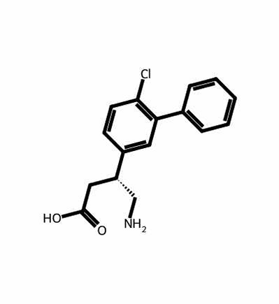 NC[C@H](CC(=O)O)c1ccc(Cl)c(-c2ccccc2)c1